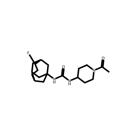 CC(=O)N1CCC(NC(=O)NC23CC4CC(C2)C(CCC4F)C3)CC1